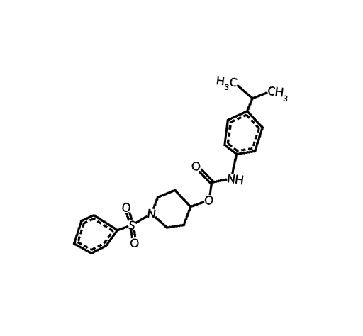 CC(C)c1ccc(NC(=O)OC2CCN(S(=O)(=O)c3ccccc3)CC2)cc1